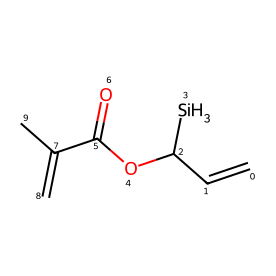 C=CC([SiH3])OC(=O)C(=C)C